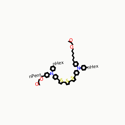 CCCCCCc1ccc(N(c2ccc(CCCCCCOCC3CO3)cc2)c2ccc(-c3ccc(-c4ccc(-c5ccc(-c6ccc(N(c7ccc(CCCCCC)cc7)c7ccc(C(CCCCC)OCC8CO8)cc7)cc6)s5)s4)s3)cc2)cc1